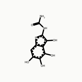 NC(=O)Nc1sc2cc(O)c(O)c(O)c2c1O